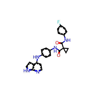 O=C(Nc1ccc(F)cc1)C1(C(=O)Nc2ccc(Nc3ccnc4[nH]ccc34)cc2)CC1